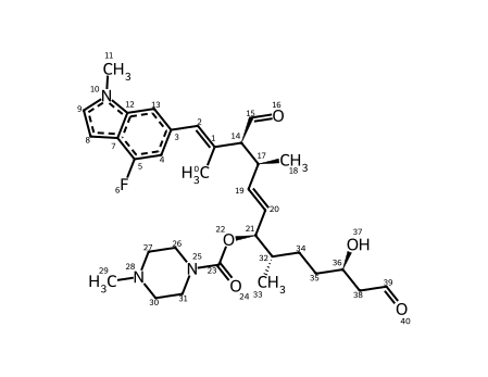 C/C(=C\c1cc(F)c2ccn(C)c2c1)[C@@H](C=O)[C@@H](C)/C=C/[C@H](OC(=O)N1CCN(C)CC1)[C@@H](C)CC[C@@H](O)CC=O